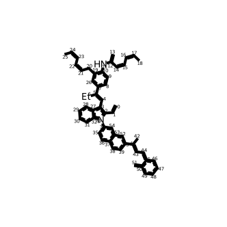 C=Cc1c(/C=C(\CC)c2ccc(NC(=C)/C=C\C=C/C)c(C/C=C\C=C/C)c2)c2ccccc2n1-c1ccc2ccc(/C(C)=C/C=c3/ccccc3=C)cc2c1